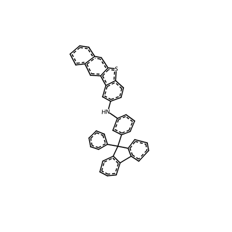 c1ccc(C2(c3cccc(Nc4ccc5sc6cc7ccccc7cc6c5c4)c3)c3ccccc3-c3ccccc32)cc1